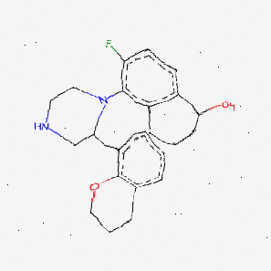 OC1CCc2c1ccc(F)c2N1CCNCC1c1cccc2c1OCCC2